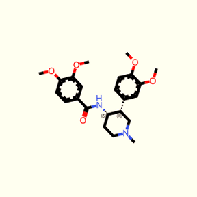 COc1ccc(C(=O)N[C@H]2CCN(C)C[C@H]2c2ccc(OC)c(OC)c2)cc1OC